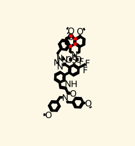 COc1ccc(CN(Cc2ccc(OC)cc2)C(=O)c2cc3cccc(-c4ccc(C(F)(F)F)c(S(=O)(=O)N(Cc5ccc(OC)cc5)Cc5ccc(OC)cc5)c4-c4nnn(Cc5ccc(OC)cc5)n4)c3[nH]2)cc1